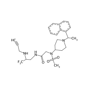 C#CCNC(CNC(=O)CN(C1CCN(C(C)c2cccc3ccccc23)CC1)S(C)(=O)=O)C(F)(F)F